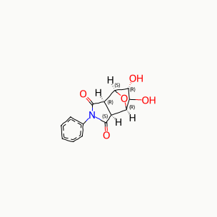 O=C1[C@H]2[C@@H]3O[C@@H](C(O)[C@H]3O)[C@H]2C(=O)N1c1ccccc1